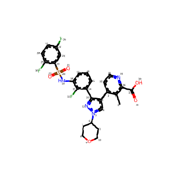 Cc1c(-c2cn(C3CCOCC3)nc2-c2cccc(NS(=O)(=O)c3cc(F)ccc3F)c2F)ccnc1C(=O)O